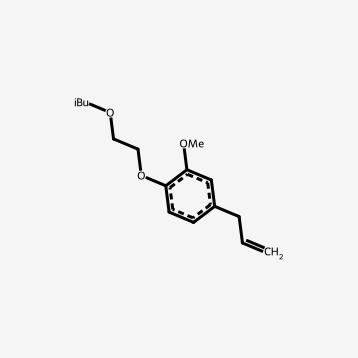 C=CCc1ccc(OCCOC(C)CC)c(OC)c1